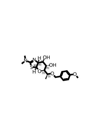 COc1ccc(CO[C@@H](C)[C@H]2O[C@@H]3SC(N(C)C)=N[C@@H]3[C@@H](O)[C@@H]2O)cc1